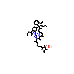 C=C/C=C\C(=C)C1(c2ccc3c(/C=C\C)c(C)n(-c4nc(/C(C)=C/C=C\C=C(/C)C(C)(O)C(C)C=C)c(=C)/c(=C\C)n4)c3c2)/C(=C/CC)C(=C)c2ccccc21